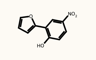 O=[N+]([O-])c1ccc(O)c(-c2ccco2)c1